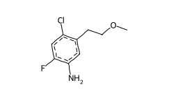 COCCc1cc(N)c(F)cc1Cl